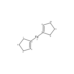 C1=[C]([Fe][C]2=CCCC2)CCC1